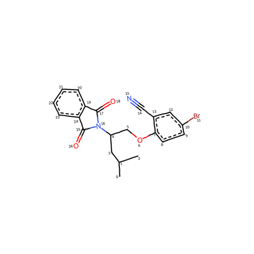 CC(C)CC(COc1ccc(Br)cc1C#N)N1C(=O)c2ccccc2C1=O